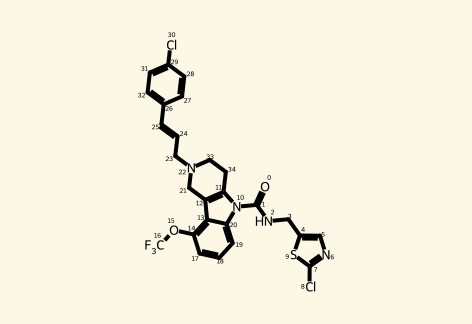 O=C(NCc1cnc(Cl)s1)n1c2c(c3c(OC(F)(F)F)cccc31)CN(C/C=C/c1ccc(Cl)cc1)CC2